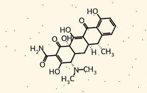 C[C@H]1c2cccc(O)c2C(=O)C2=C(O)[C@]3(O)C(=O)C(C(N)=O)=C(O)[C@@H](N(C)C)C3C[C@@H]21